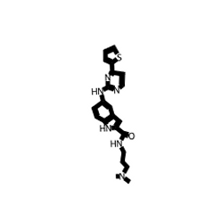 CN(C)CCCNC(=O)c1cc2cc(Nc3nccc(-c4cccs4)n3)ccc2[nH]1